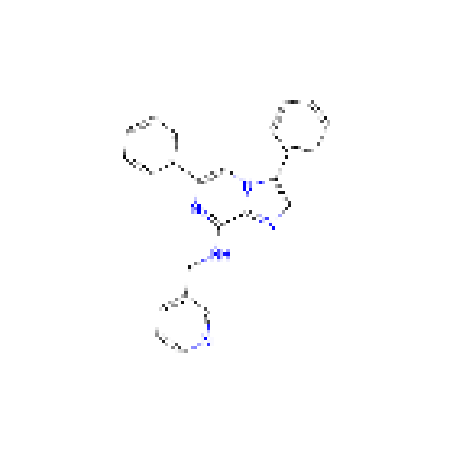 c1ccc(-c2cn3c(-c4ccccc4)cnc3c(NCc3cccnc3)n2)cc1